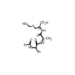 CCC(=O)NC(C(=O)N[C@@H](C)C(=O)N[C@@H](CSCC(C)(C)C)C(=O)O)C(C)C